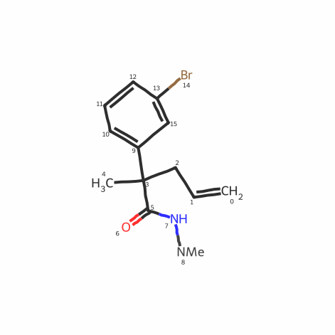 C=CCC(C)(C(=O)NNC)c1cccc(Br)c1